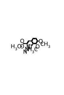 COC(=O)/C(=C/c1ccc(OC)c(OC)c1Cl)N=[N+]=[N-]